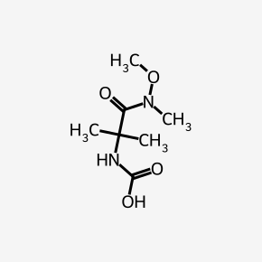 CON(C)C(=O)C(C)(C)NC(=O)O